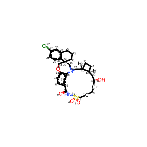 O=C1NS(=O)(=O)CCCC[C@H](O)C[C@@H]2CC[C@H]2CN2C[C@@]3(CCCc4cc(Cl)ccc43)COc3ccc1cc32